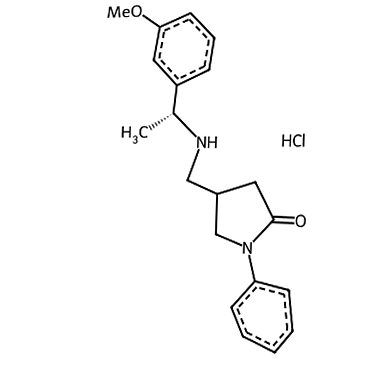 COc1cccc([C@@H](C)NCC2CC(=O)N(c3ccccc3)C2)c1.Cl